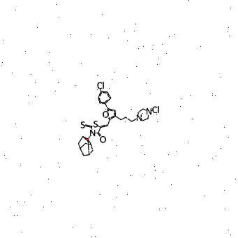 O=C1/C(=C/c2oc(-c3ccc(Cl)cc3)cc2CCCN2CCN(Cl)CC2)SC(=S)N1C1C2CC3CC(C2)CC1C3